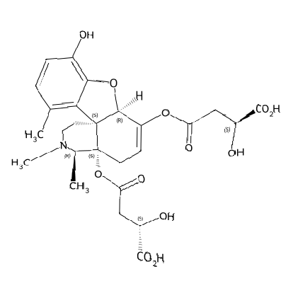 Cc1ccc(O)c2c1[C@]13CCN(C)[C@H](C)[C@]1(OC(=O)C[C@H](O)C(=O)O)CC=C(OC(=O)C[C@H](O)C(=O)O)[C@@H]3O2